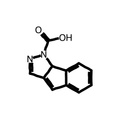 O=C(O)N1N=CC2=Cc3ccccc3C21